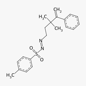 C=C(c1ccccc1)C(C)(C)CCN=NS(=O)(=O)c1ccc(C)cc1